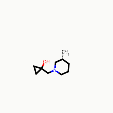 C[C@@H]1CCCN(CC2(O)CC2)C1